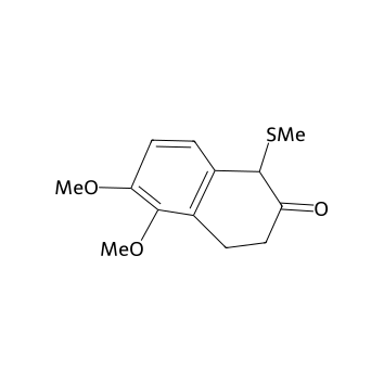 COc1ccc2c(c1OC)CCC(=O)C2SC